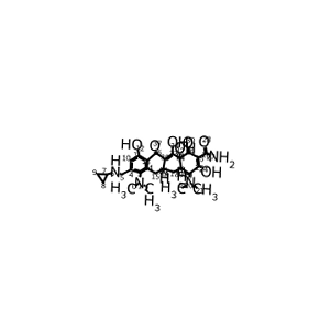 CN(C)c1c(CNC2CC2)cc(O)c2c1C[C@H]1C[C@H]3[C@H](N(C)C)C(O)=C(C(N)=O)C(=O)[C@@]3(O)C(O)=C1C2=O